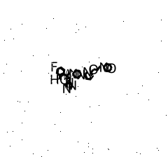 C[C@@H](N1CCN(c2cccc(OCCN3CCOCC3)n2)CC1)[C@](O)(Cn1cncn1)c1ccc(F)cc1F